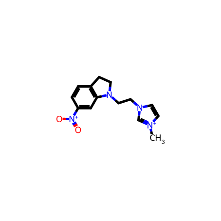 C[n+]1ccn(CCN2CCc3ccc([N+](=O)[O-])cc32)c1